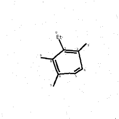 C[CH]c1c(C)ccc(C)c1C